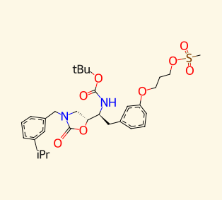 CC(C)c1cccc(CN2C[C@H]([C@H](Cc3cccc(OCCCOS(C)(=O)=O)c3)NC(=O)OC(C)(C)C)OC2=O)c1